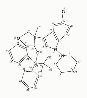 CC1(c2nn(N3CCNCC3)c3ccc(Cl)cc23)COCC1O[Si](c1ccccc1)(c1ccccc1)C(C)(C)C